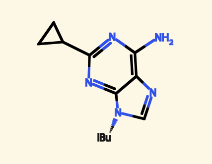 CC[C@@H](C)n1cnc2c(N)nc(C3CC3)nc21